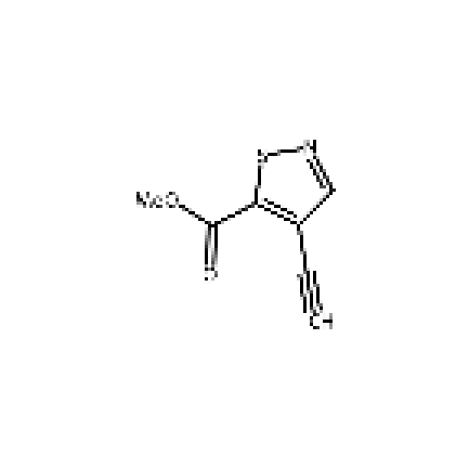 C#Cc1cnsc1C(=O)OC